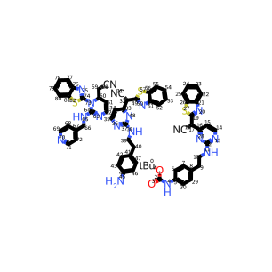 CC(C)(C)OC(=O)Nc1ccc(CCNc2nccc(C(C#N)c3nc4ccccc4s3)n2)cc1.N#CC(c1ccnc(NCCc2ccc(N)cc2)n1)c1nc2ccccc2s1.N#CCC1C=CN=C(NCc2ccncc2)N1c1nc2ccccc2s1